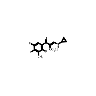 CCOC(=O)/C(=C\NC1CC1)C(=O)c1cc(F)c(F)c(C)c1F